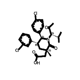 CC(=O)[C@H](C(C)C)N1C(=O)[C@](C)(CC(=O)O)C[C@H](c2cccc(Cl)c2)[C@H]1c1ccc(Cl)cc1